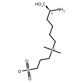 C[N+](C)(CCCC[C@H](N)C(=O)O)CCCS(=O)(=O)[O-]